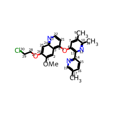 COc1cc2c(Oc3cc(C)c(C)nc3-c3ccc(C)cn3)ccnc2cc1OCCCl